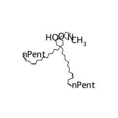 CCCCC/C=C\C/C=C\CCCCCCCCC1(CCCCCCCC/C=C\C/C=C\CCCCC)CCC(O)(OC2CCN(C)C2)CC1